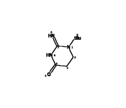 CC(C)(C)N1CCC(=O)NC1=N